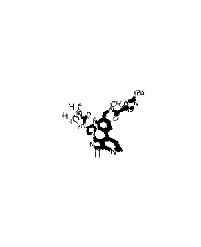 CN(C)C(=O)N[C@@H]1CCN(c2n[nH]c3nccc(-c4ccc(CN(C)C(=O)c5nc(C(C)(C)C)no5)c(F)c4)c23)C1